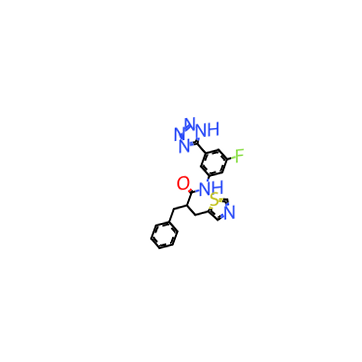 O=C(Nc1cc(F)cc(-c2nnn[nH]2)c1)C(Cc1ccccc1)Cc1cncs1